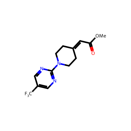 COC(=O)C=C1CCN(c2ncc(C(F)(F)F)cn2)CC1